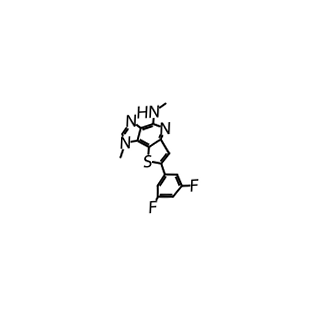 CNc1nc2cc(-c3cc(F)cc(F)c3)sc2c2c1ncn2C